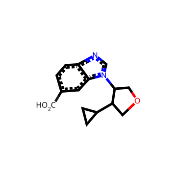 O=C(O)c1ccc2ncn(C3COCC3C3CC3)c2c1